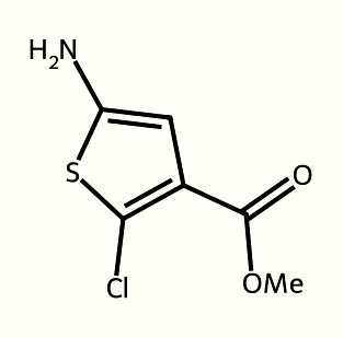 COC(=O)c1cc(N)sc1Cl